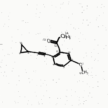 COc1ccc(C#CC2CC2)c(C(=O)O)c1